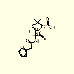 CC1(C)S[C@H]2N(C(=S)[C@]2(C)NC(=O)Cc2ccco2)[C@H]1C(=O)O